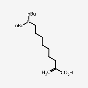 C=C(CCCCCCCN(CCCC)CCCC)C(=O)O